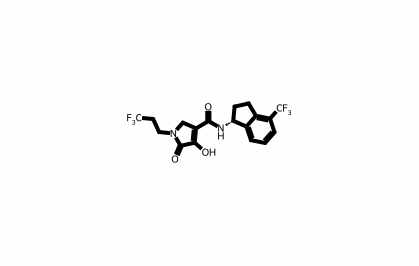 O=C(N[C@@H]1CCc2c1cccc2C(F)(F)F)C1=C(O)C(=O)N(CCC(F)(F)F)C1